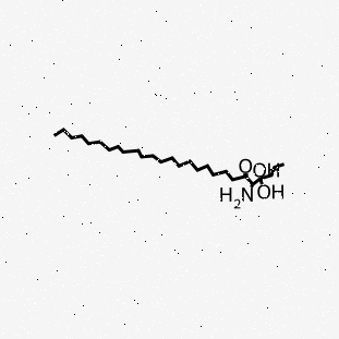 CCCCCCCCCCCCCCCCCCCCCC(=O)C(N)C(O)(O)CCC